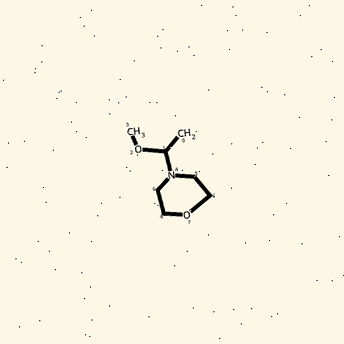 [CH2]C(OC)N1CCOCC1